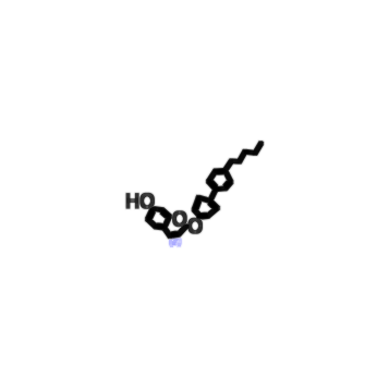 CCCCCc1ccc(-c2ccc(OC(=O)/C=C\c3ccc(O)cc3)cc2)cc1